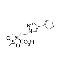 C[C@@](CCn1cc(C2=CCCC2)cn1)(C(=O)O)S(C)(=O)=O